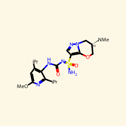 CN[C@@H]1COc2c(S(N)(=O)=NC(=O)Nc3c(C(C)C)cc(OC)nc3C(C)C)cnn2C1